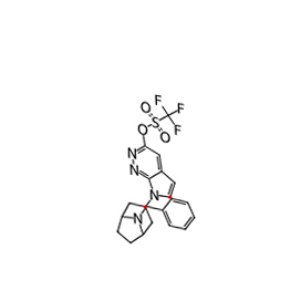 O=S(=O)(Oc1cc2ccn(C3CC4CCC(C3)N4Cc3ccccc3)c2nn1)C(F)(F)F